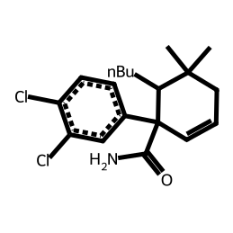 CCCCC1C(C)(C)CC=CC1(C(N)=O)c1ccc(Cl)c(Cl)c1